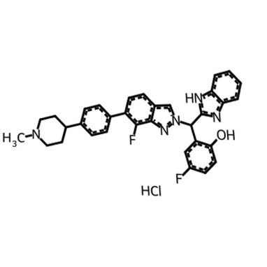 CN1CCC(c2ccc(-c3ccc4cn(C(c5nc6ccccc6[nH]5)c5cc(F)ccc5O)nc4c3F)cc2)CC1.Cl